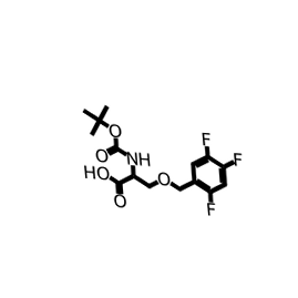 CC(C)(C)OC(=O)NC(COCc1cc(F)c(F)cc1F)C(=O)O